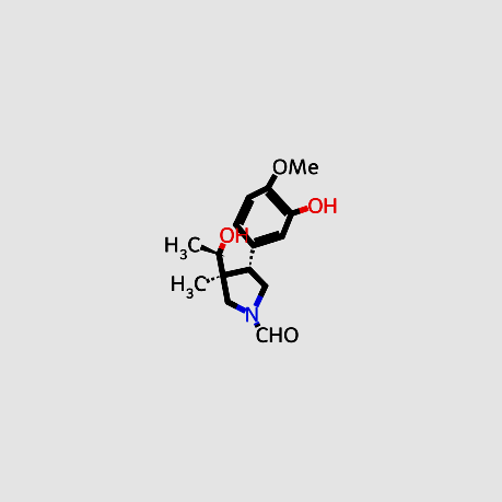 COc1ccc([C@@H]2CN(C=O)C[C@@]2(C)[C@@H](C)O)cc1O